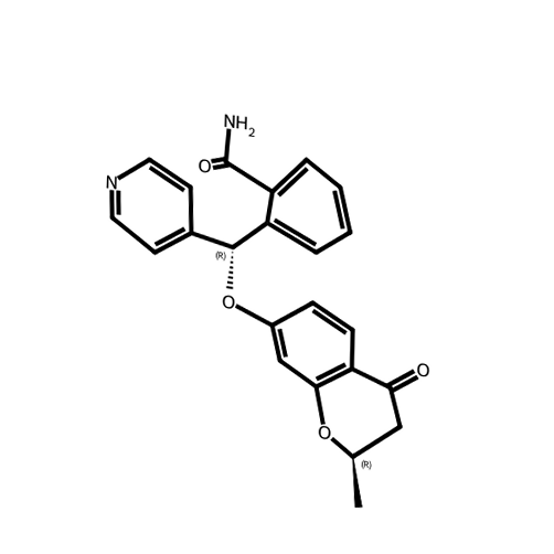 C[C@@H]1CC(=O)c2ccc(O[C@H](c3ccncc3)c3ccccc3C(N)=O)cc2O1